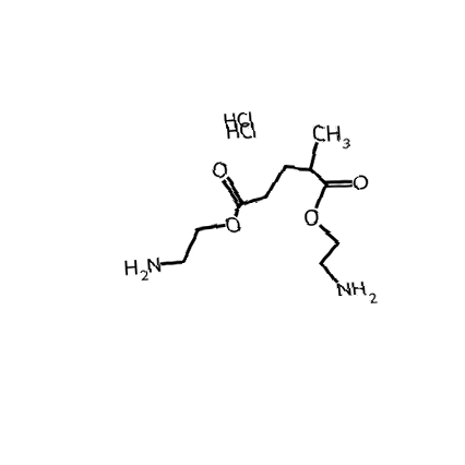 CC(CCC(=O)OCCN)C(=O)OCCN.Cl.Cl